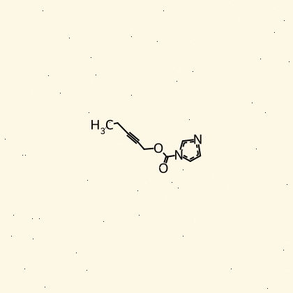 CCC#CCOC(=O)n1ccnc1